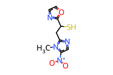 Cn1c([N+](=O)[O-])cnc1CC(S)c1ncco1